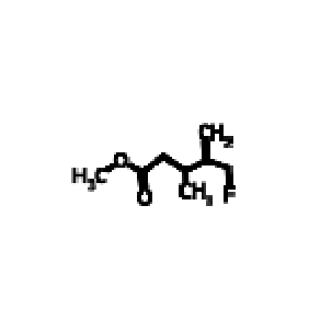 C=C(CF)C(C)CC(=O)OC